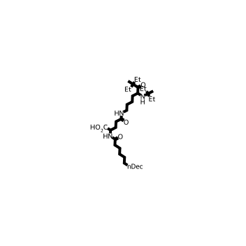 CCCCCCCCCCCCCCCC(=O)NC(CCC(=O)NCCCCC(NC(C)(CC)CC)C(=O)C(C)(CC)CC)C(=O)O